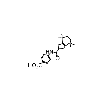 CC1(C)CCC(C)(C)C2=C1C=C(C(=O)Nc1ccc(C(=O)O)cc1)C2